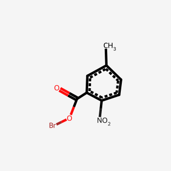 Cc1ccc([N+](=O)[O-])c(C(=O)OBr)c1